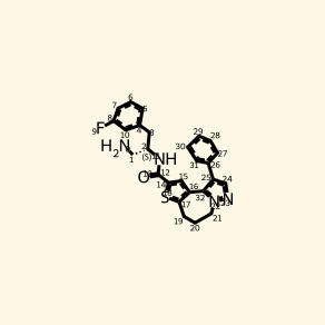 NC[C@H](Cc1cccc(F)c1)NC(=O)c1cc2c(s1)CCCn1ncc(-c3ccccc3)c1-2